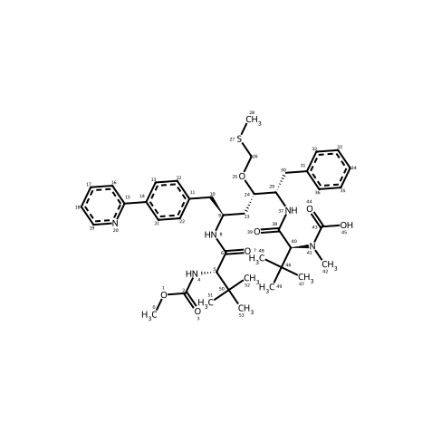 COC(=O)N[C@H](C(=O)N[C@@H](Cc1ccc(-c2ccccn2)cc1)C[C@H](OCSC)[C@H](Cc1ccccc1)NC(=O)[C@@H](N(C)C(=O)O)C(C)(C)C)C(C)(C)C